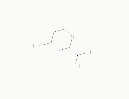 CC1CCNC(C(C)C)C1